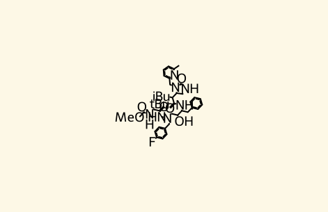 CCC(C)C(C(=O)NC(Cc1ccccc1)C(O)CN(Cc1ccc(F)cc1)NC(=O)C(NC(=O)OC)C(C)(C)C)C1CNC(=O)N1Cc1cccc(C)n1